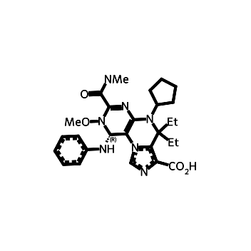 CCC1(CC)c2c(C(=O)O)ncn2C2=C(N=C(C(=O)NC)N(OC)[C@H]2Nc2ccccc2)N1C1CCCC1